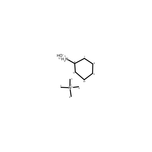 C[N+](C)(C)C.NC1CCCCC1.[OH-]